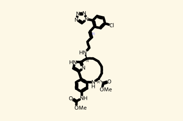 COC(=O)Nc1ccc2c(c1)N[C@@H](C(=O)OC)CCCC[C@H](NCC/C=C/c1cc(Cl)ccc1-n1cnnn1)c1nc-2c[nH]1